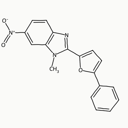 Cn1c(-c2ccc(-c3ccccc3)o2)nc2ccc([N+](=O)[O-])cc21